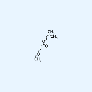 CCOCCCC(=O)OCCC(C)C